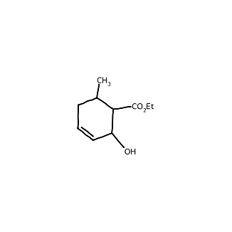 CCOC(=O)C1C(O)C=CCC1C